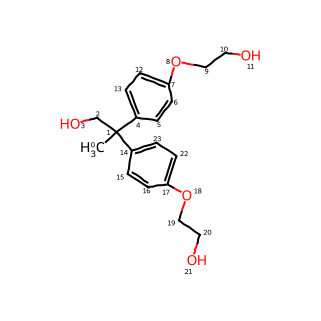 CC(CO)(c1ccc(OCCO)cc1)c1ccc(OCCO)cc1